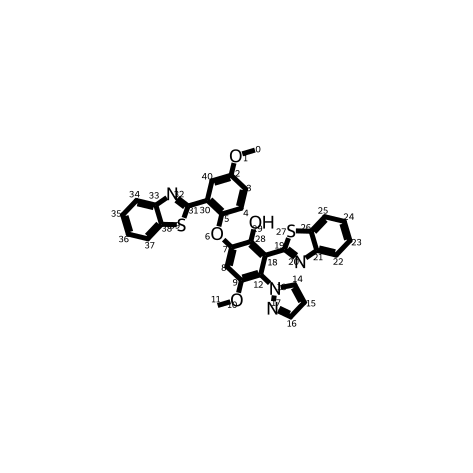 COc1ccc(Oc2cc(OC)c(-n3cccn3)c(-c3nc4ccccc4s3)c2O)c(-c2nc3ccccc3s2)c1